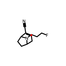 N#CC1=CCC2CCC1N2CCCF